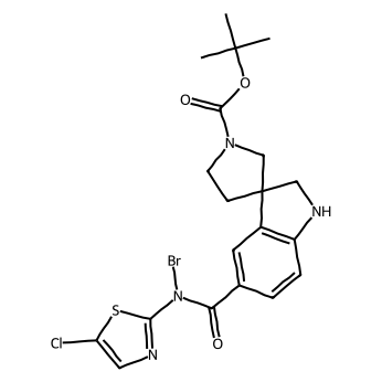 CC(C)(C)OC(=O)N1CCC2(CNc3ccc(C(=O)N(Br)c4ncc(Cl)s4)cc32)C1